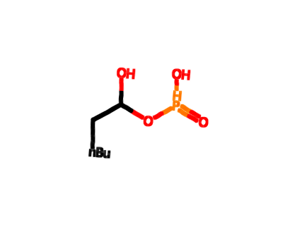 CCCCCC(O)O[PH](=O)O